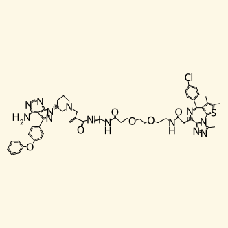 C=C(CN1CCC[C@@H](n2nc(-c3ccc(Oc4ccccc4)cc3)c3c(N)ncnc32)C1)C(=O)NCCNC(=O)CCOCCOCCNC(=O)C[C@H]1N=C(c2ccc(Cl)cc2)c2c(sc(C)c2C)-n2c(C)nnc21